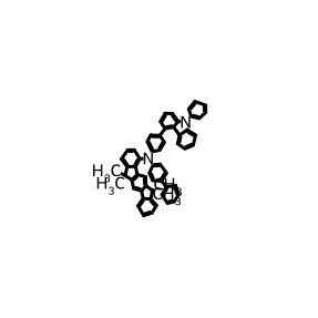 CC1(C)c2ccccc2-c2cc3c(cc21)-c1c(N(c2ccc(-c4ccccc4)cc2)c2ccc(-c4cccc5c4c4ccccc4n5-c4ccccc4)cc2)cccc1C3(C)C